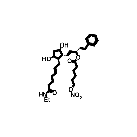 CCNC(=O)CCCC=CC[C@@H]1[C@@H](C=C[C@H](CCc2ccccc2)OC(=O)CCCCCO[N+](=O)[O-])[C@H](O)C[C@@H]1O